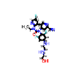 CCN1C(=O)N(c2c(F)cc(NCCNCCO)cc2F)c2cc(C#N)ncc2-c2cc(F)cnc21